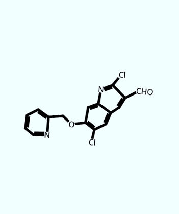 O=Cc1cc2cc(Cl)c(OCc3ccccn3)cc2nc1Cl